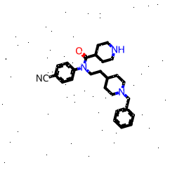 N#Cc1ccc(N(CCC2CCN(Cc3ccccc3)CC2)C(=O)C2CCNCC2)cc1